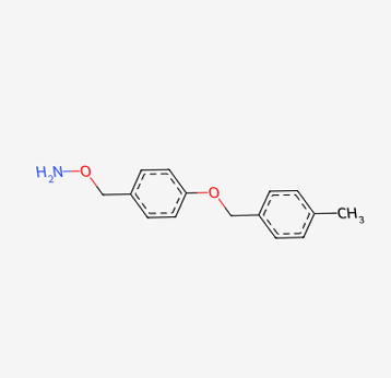 Cc1ccc(COc2ccc(CON)cc2)cc1